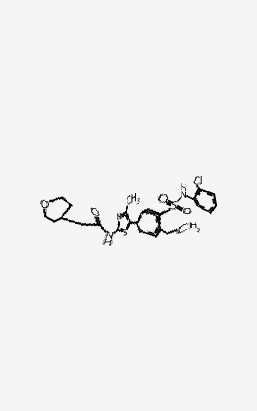 Cc1ccc(-c2sc(NC(=O)CC3CCOCC3)nc2C)cc1S(=O)(=O)Nc1ccccc1Cl